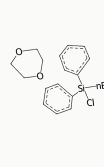 C1COCCO1.CCCC[Si](Cl)(c1ccccc1)c1ccccc1